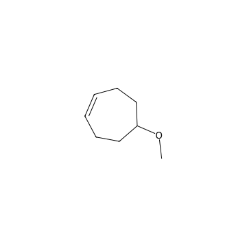 COC1CCC=CCC1